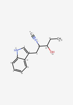 [C-]#[N+]C(Cc1c[nH]c2ccccc12)C(O)CC